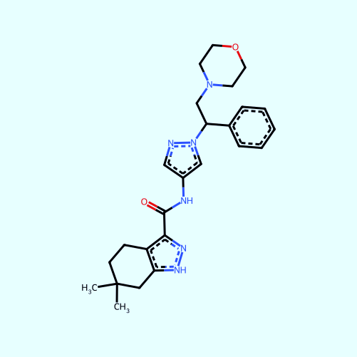 CC1(C)CCc2c(C(=O)Nc3cnn(C(CN4CCOCC4)c4ccccc4)c3)n[nH]c2C1